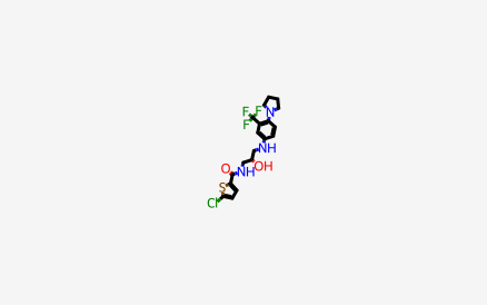 O=C(NCC(O)CNc1ccc(N2CCCC2)c(C(F)(F)F)c1)c1ccc(Cl)s1